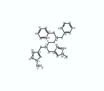 Nn1cc(CN(CCN(Cc2ccccn2)Cc2ccccn2)Cc2cn(I)nn2)nn1